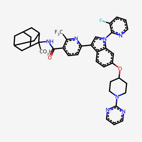 O=C(NC1(C(=O)O)C2CC3CC(C2)CC1C3)c1ccc(-c2cn(-c3ncccc3F)c3cc(OC4CCN(c5ncccn5)CC4)ccc23)nc1C(F)(F)F